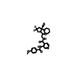 COc1ccc(C(=O)Nc2cnccc2C(=O)NCC(=O)N2CC(F)(F)CC2(C#N)N2CCCCC2)cc1